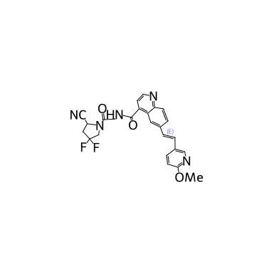 COc1ccc(/C=C/c2ccc3nccc(C(=O)NCC(=O)N4CC(F)(F)CC4C#N)c3c2)cn1